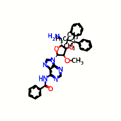 CO[C@@H]1[C@H](O[Si](c2ccccc2)(c2ccccc2)C(C)(C)C)[C@@H](CN)O[C@H]1n1cnc2c(NC(=O)c3ccccc3)ncnc21